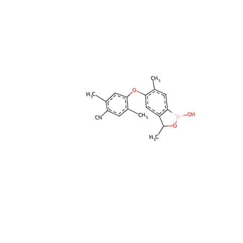 [C-]#[N+]c1cc(C)c(Oc2cc3c(cc2C)B(O)OC3C)cc1C